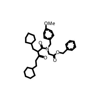 COc1ccc(CN(CC(=O)OCc2ccccc2)C(=O)C(CC2CCCCC2)C(=O)CCC2CCCCC2)cc1